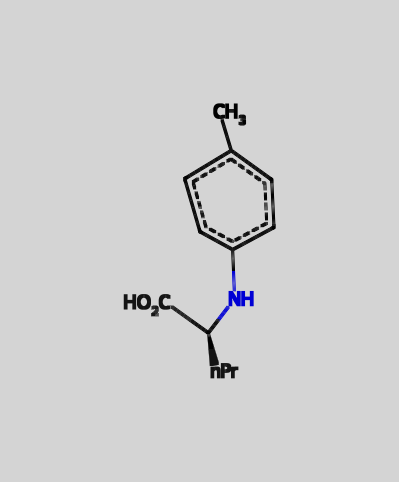 CCC[C@H](Nc1ccc(C)cc1)C(=O)O